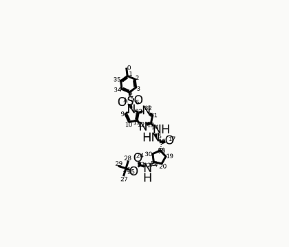 Cc1ccc(S(=O)(=O)n2ccc3nc(NNC(=O)[C@@H]4CC[C@H](NC(=O)OC(C)(C)C)C4)cnc32)cc1